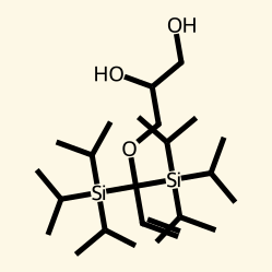 C=CC(OCC(O)CO)([Si](C(C)C)(C(C)C)C(C)C)[Si](C(C)C)(C(C)C)C(C)C